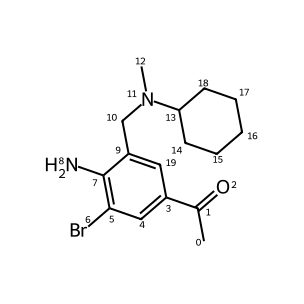 CC(=O)c1cc(Br)c(N)c(CN(C)C2CCCCC2)c1